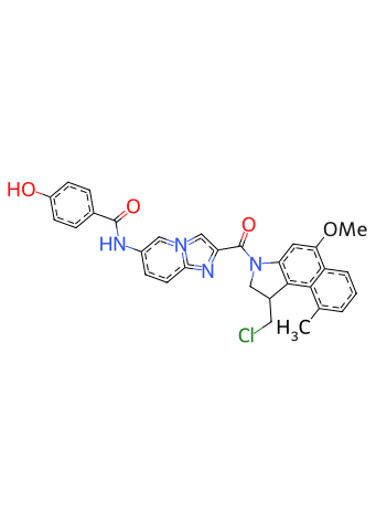 COc1cc2c(c3c(C)cccc13)C(CCl)CN2C(=O)c1cn2cc(NC(=O)c3ccc(O)cc3)ccc2n1